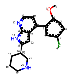 COc1ccc(F)cc1-c1ccnc2[nH]c([C@@H]3CCCNC3)cc12